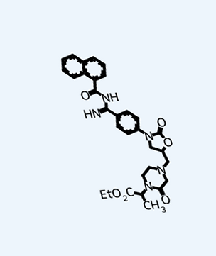 CCOC(=O)C(C)N1CCN(CC2CN(c3ccc(C(=N)NC(=O)c4cccc5ccccc45)cc3)C(=O)O2)CC1=O